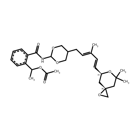 CC(=O)OC(C)c1ccccc1C(=O)NC1OCC(CC=C(C)C=C[C@@H]2C[C@]3(CO3)CC(C)(C)O2)CO1